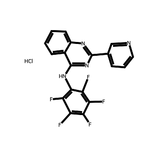 Cl.Fc1c(F)c(F)c(Nc2nc(-c3cccnc3)nc3ccccc23)c(F)c1F